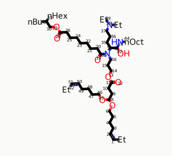 CC/C=C\CCCCOC(CCC(=O)OCCCN(C(=O)CCCCCCCC(=O)OCC(CCCC)CCCCCC)C(CCCN(CC)CC)C(O)NCCCCCCCC)OCCCC/C=C\CC